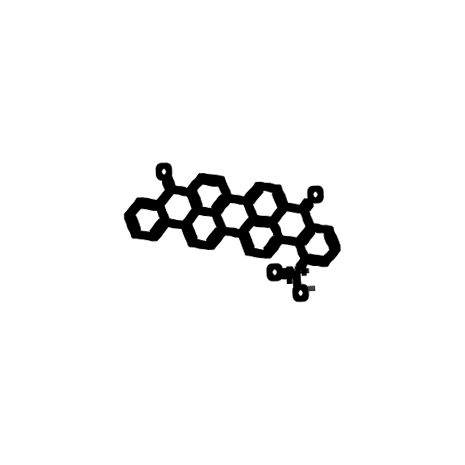 O=C1c2ccccc2-c2ccc3c4ccc5c6c(ccc(c7ccc1c2c73)c64)C(=O)c1cccc([N+](=O)[O-])c1-5